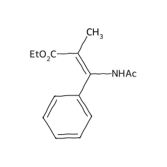 CCOC(=O)/C(C)=C(/NC(C)=O)c1ccccc1